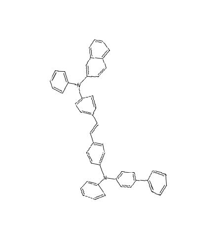 C(=C\c1ccc(N(c2ccccc2)c2ccc3ccccc3c2)cc1)/c1ccc(N(c2ccccc2)c2ccc(-c3ccccc3)cc2)cc1